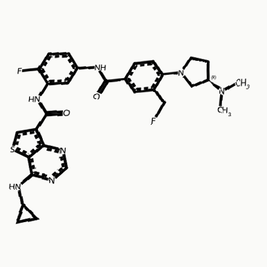 CN(C)[C@@H]1CCN(c2ccc(C(=O)Nc3ccc(F)c(NC(=O)c4csc5c(NC6CC6)ncnc45)c3)cc2CF)C1